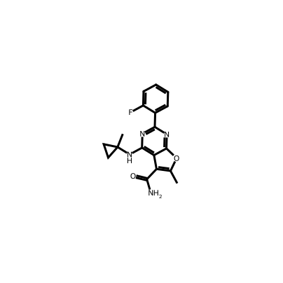 Cc1oc2nc(-c3ccccc3F)nc(NC3(C)CC3)c2c1C(N)=O